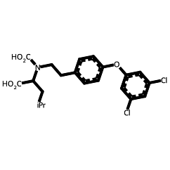 CC(C)CC(C(=O)O)N(CCc1ccc(Oc2cc(Cl)cc(Cl)c2)cc1)C(=O)O